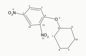 O=[N+]([O-])c1ccc(OC2CCCCC2)c([N+](=O)[O-])c1